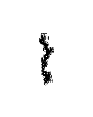 CN(C[C@H]1CN(CCCc2ccc3c(c2)n(C)c(=O)n3C2CCC(=O)NC2=O)CCO1)C(=O)c1ccc(-n2cc(NC(=O)c3coc(-c4ccnc(NCC(F)(F)F)c4)n3)c(C(F)F)n2)cc1